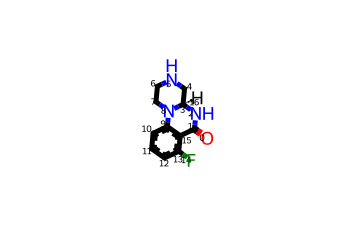 O=C1N[C@@H]2CNCCN2c2cccc(F)c21